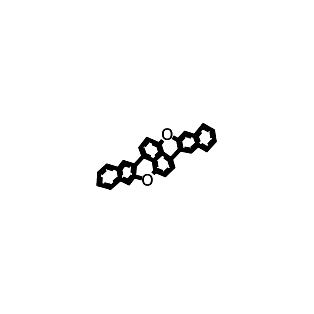 c1ccc2cc3c(cc2c1)Oc1ccc2c4c(ccc-3c14)Oc1cc3ccccc3cc1-2